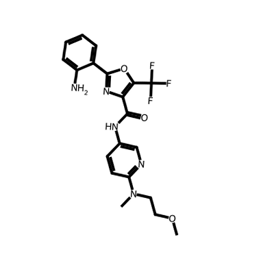 COCCN(C)c1ccc(NC(=O)c2nc(-c3ccccc3N)oc2C(F)(F)F)cn1